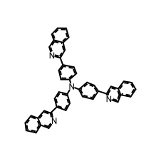 c1ccc2cc(-c3ccc(N(c4ccc(-c5cc6ccccc6cn5)cc4)c4ccc(-c5cc6ccccc6cn5)cc4)cc3)ncc2c1